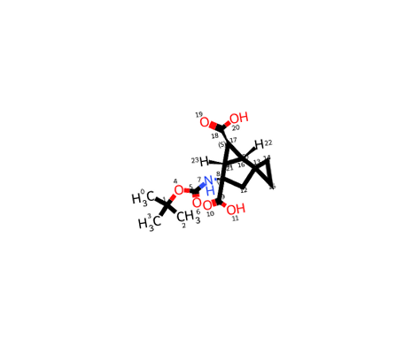 CC(C)(C)OC(=O)N[C@@]1(C(=O)O)CC2(CC2)[C@H]2[C@H](C(=O)O)[C@H]21